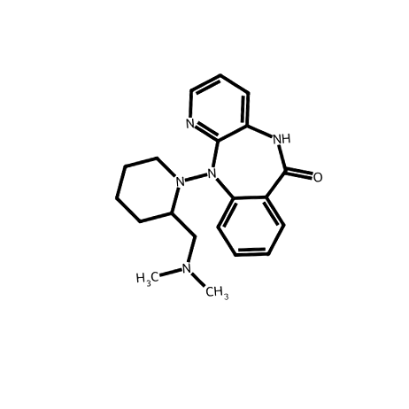 CN(C)CC1CCCCN1N1c2ccccc2C(=O)Nc2cccnc21